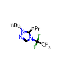 CCCCN1N=CN(C(F)(F)C(F)(F)F)C1CCC